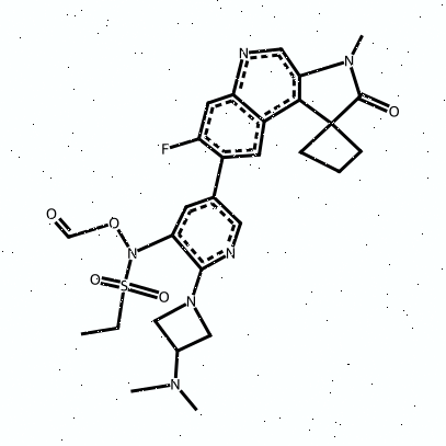 CCS(=O)(=O)N(OC=O)c1cc(-c2cc3c4c(cnc3cc2F)N(C)C(=O)C42CCC2)cnc1N1CC(N(C)C)C1